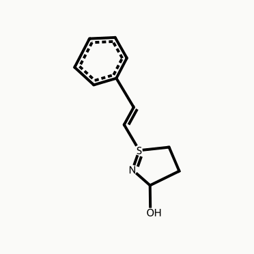 OC1CCS(C=Cc2ccccc2)=N1